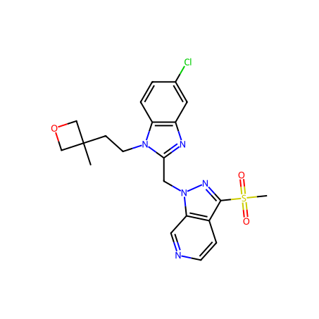 CC1(CCn2c(Cn3nc(S(C)(=O)=O)c4ccncc43)nc3cc(Cl)ccc32)COC1